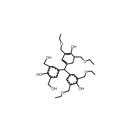 CCOCC1=C(O)C(COCC)CC(C(c2cc(CO)c(O)c(CO)c2)c2cc(COCC)c(O)c(COCC)c2)=C1